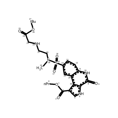 CCCOC(=O)c1c[nH]c2c(=O)[nH]c3ccc(S(=O)(=O)N(C)CCNCC(=O)OC(C)(C)C)cc3c12